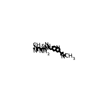 Cn1cc(-c2cnc3ccc(Cc4nnc5sc(/C(N)=C/c6cncn6C)nn45)cc3c2)cn1